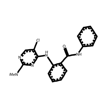 CNc1ncc(Cl)c(Nc2ccccc2C(=O)Nc2ccccc2)n1